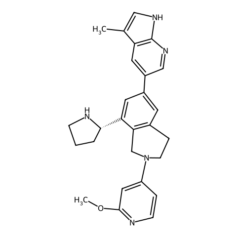 COc1cc(N2CCc3cc(-c4cnc5[nH]cc(C)c5c4)cc([C@@H]4CCCN4)c3C2)ccn1